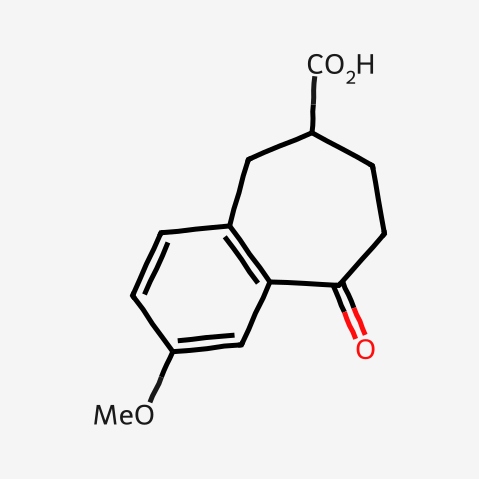 COc1ccc2c(c1)C(=O)CCC(C(=O)O)C2